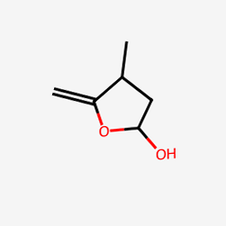 C=C1OC(O)CC1C